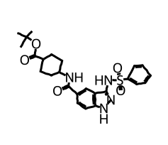 CC(C)(C)OC(=O)C1CCC(NC(=O)c2ccc3[nH]nc(NS(=O)(=O)c4ccccc4)c3c2)CC1